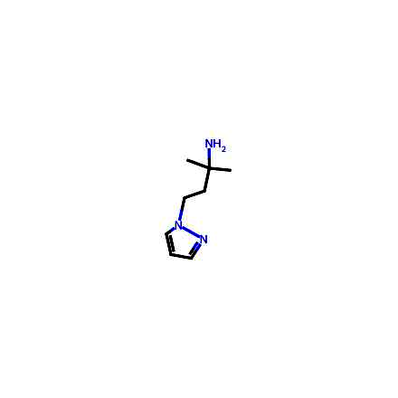 CC(C)(N)CCn1cccn1